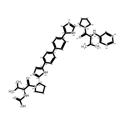 CC(C)[C@H](NC(=O)O)C(=O)N1CCC[C@H]1c1ncc(-c2ccc(-c3ccc(-c4cnc([C@@H]5CCCN5C(=O)[C@@H](Nc5cncnc5)C(C)C)[nH]4)cc3)cc2)[nH]1